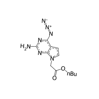 CCCCOC(=O)Cn1ccc2c(N=[N+]=[N-])nc(N)nc21